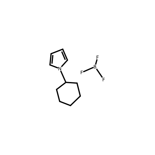 FB(F)F.c1ccn(C2CCCCC2)c1